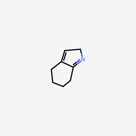 C1=C2CCCCC2=NC1